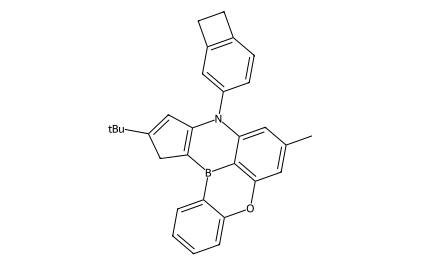 Cc1cc2c3c(c1)N(c1ccc4c(c1)CC4)C1=C(CC(C(C)(C)C)=C1)B3c1ccccc1O2